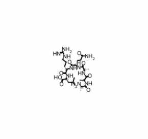 CC(C)C[C@H](NC(=O)[C@H](CCCNC(=N)N)NC(=O)[C@H](CCC(N)=O)NC(=O)[C@H](C)NC(=O)[C@H](C)NC(=O)[C@H](C)N)C(=O)O